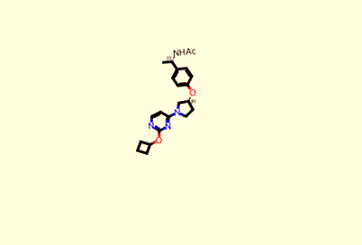 CC(=O)N[C@@H](C)c1ccc(O[C@@H]2CCN(c3ccnc(OC4CCC4)n3)C2)cc1